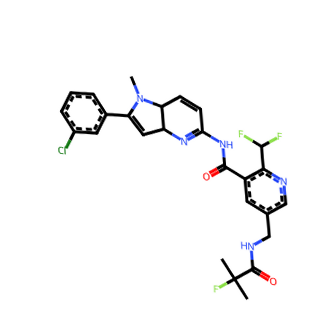 CN1C(c2cccc(Cl)c2)=CC2N=C(NC(=O)c3cc(CNC(=O)C(C)(C)F)cnc3C(F)F)C=CC21